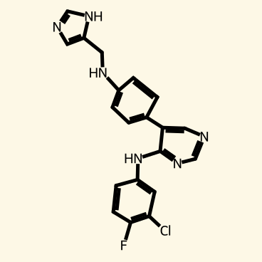 Fc1ccc(Nc2ncncc2-c2ccc(NCc3cnc[nH]3)cc2)cc1Cl